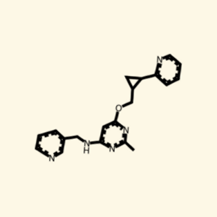 Cc1nc(NCc2cccnc2)cc(OCC2CC2c2ccccn2)n1